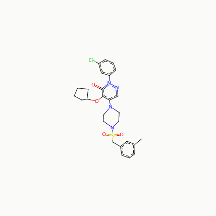 Cc1cccc(CS(=O)(=O)N2CCN(c3cnn(-c4cccc(Cl)c4)c(=O)c3OC3CCCC3)CC2)c1